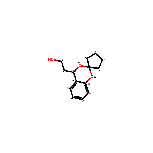 OCCC1OC2(CCCC2)Oc2ccccc21